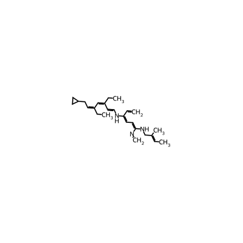 C=C/C(=C\C=C(/N=C)NC/C(C)=C/C)N/C=C/C(=C\C(=C/CC1CC1)CC)CC